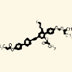 C=CC(=C)OCOc1ccc(-c2c(CCCF)cc(C#Cc3ccc(-c4ccc(OC(=O)C=C)cc4)cc3)cc2OC(=O)C=C)cc1